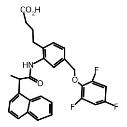 CC(C(=O)Nc1cc(COc2c(F)cc(F)cc2F)ccc1CCCC(=O)O)c1cccc2ccccc12